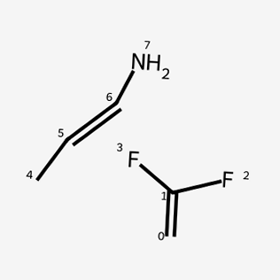 C=C(F)F.CC=CN